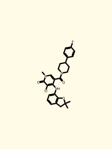 Cn1cc(C(=O)N2CCC(c3ccc(F)cc3)CC2)c(Nc2cccc3c2OC(C)(C)C3)c(Cl)c1=O